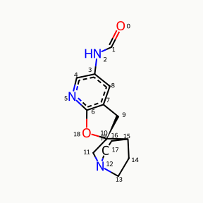 O=CNc1cnc2c(c1)C[C@@]1(CN3CCC1CC3)O2